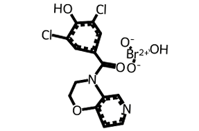 O=C(c1cc(Cl)c(O)c(Cl)c1)N1CCOc2ccncc21.[O-][Br+2]([O-])O